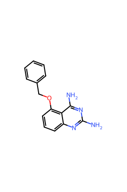 Nc1nc(N)c2c(OCc3ccccc3)cccc2n1